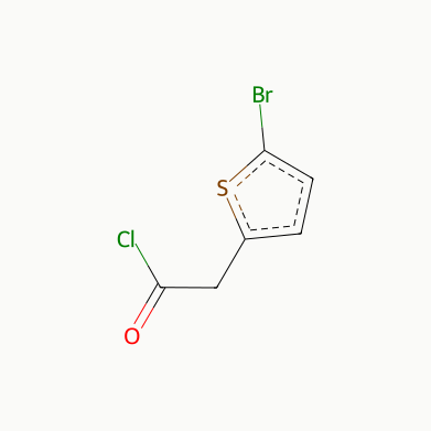 O=C(Cl)Cc1ccc(Br)s1